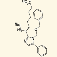 CC(C)(C)N[C@@H](CCCCCC(=O)O)c1ncc(-c2ccccc2)n1COCc1ccccc1